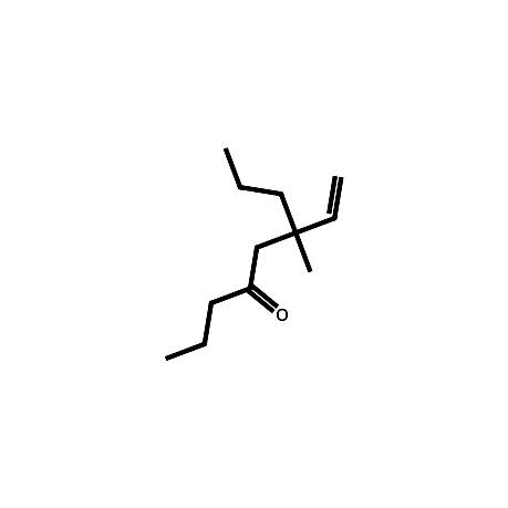 C=CC(C)(CCC)CC(=O)CCC